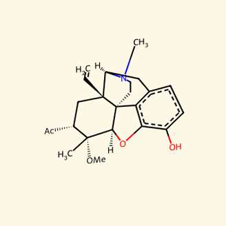 C=C[C@]12C[C@@H](C(C)=O)[C@@](C)(OC)[C@@H]3Oc4c(O)ccc5c4[C@@]31CCN(C)[C@@H]2C5